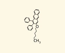 CCCCCCOc1cc2cc3ccccc3cc2c(-c2ccccc2)c1-c1ccccc1